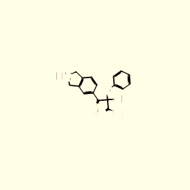 CC(Oc1ccccc1)(C(=O)O)C(=O)c1ccc2c(c1)CNC2